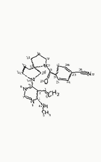 C=Cc1c(NC)ncnc1N1CCC2(CCCN2C(=O)c2ccc(C#N)cc2)C1